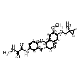 CNC(=O)C(=O)Nc1ccc(Oc2ccnc3cc(OCC4(N)CC4)c(OC)cc23)c(F)c1